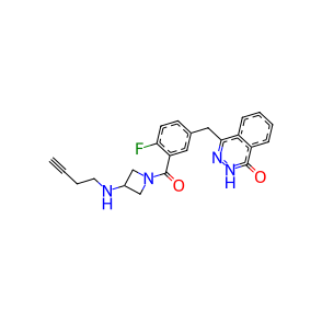 C#CCCNC1CN(C(=O)c2cc(Cc3n[nH]c(=O)c4ccccc34)ccc2F)C1